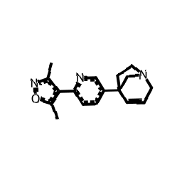 Cc1noc(C)c1-c1ccc(C23C=CCN(CC2)C3)cn1